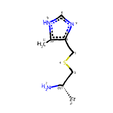 CC[C@H](N)CSCc1nc[nH]c1C